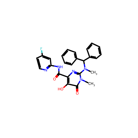 CN(c1nc(C(=O)Nc2cc(F)ccn2)c(O)c(=O)n1C)C(c1ccccc1)c1ccccc1